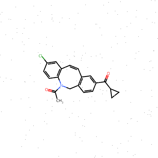 CC(=O)N1Cc2ccc(C(=O)C3CC3)cc2/C=C\c2cc(Cl)ccc21